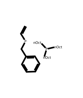 C=C[P]Cc1ccccc1.CCCCCCCCP(CCCCCCCC)CCCCCCCC